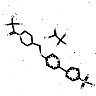 CCC(C)(C)C(=O)N1CCC(COc2ccc(-c3ccc(S(C)(=O)=O)cc3)nc2)CC1.O=C(O)C(F)(F)F